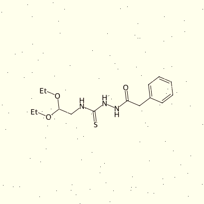 CCOC(CNC(=S)NNC(=O)Cc1ccccc1)OCC